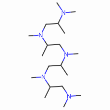 CC(CN(C)C(C)CN(C)C(C)CN(C)C(C)CN(C)C)N(C)C